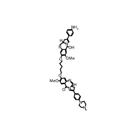 COc1cc2c(cc1OCCCCCOc1cc3c(cc1OC)C(O)N1C=C(c4ccc(N)cc4)C[C@H]1C=N3)N=C[C@@H]1CC(c3ccc(N4CCN(C)CC4)cc3)=CN1C2=O